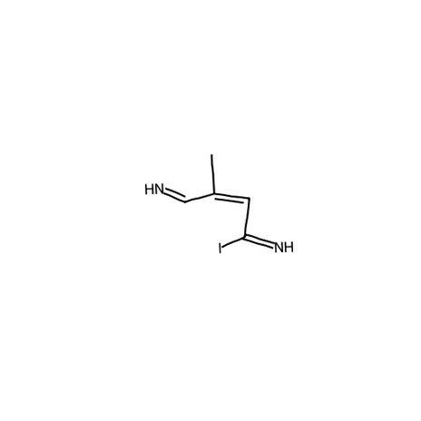 C/C(C=N)=C/C(=N)I